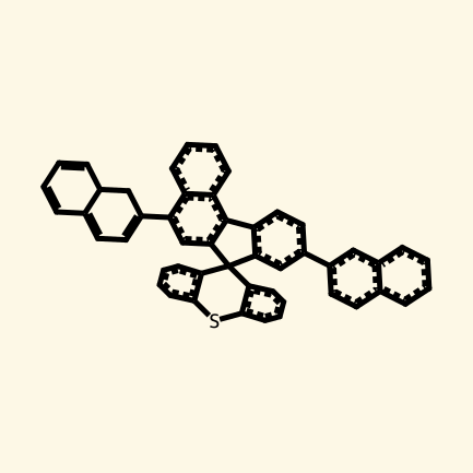 C1=CC2=CC=C(c3cc4c(c5ccccc35)-c3ccc(-c5ccc6ccccc6c5)cc3C43c4ccccc4Sc4ccccc43)CC2C=C1